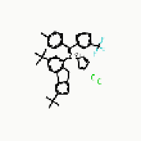 Cc1ccc([C](c2cccc(C(F)(F)F)c2)=[Zr+2]([c]2cc(C(C)(C)C)cc3c2Cc2ccc(C(C)(C)C)cc2-3)[CH]2C=CC=C2)cc1.[Cl-].[Cl-]